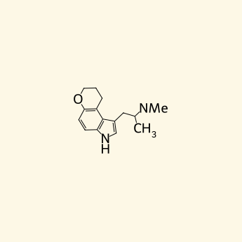 CNC(C)Cc1c[nH]c2ccc3c(c12)CCCO3